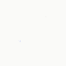 Cc1cc2c(C)c3ccc[nH]c3cc2c1CC1C=Cc2ccccc21